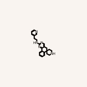 c1cncc(CCNc2ncc3c(n2)-c2ccccc2C2(CCNCC2)C3)c1